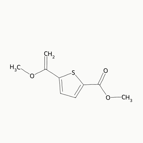 C=C(OC)c1ccc(C(=O)OC)s1